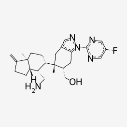 C=C1CC[C@H]2[C@@H](CN)[C@@H]([C@]3(C)Cc4cnn(-c5ncc(F)cn5)c4C[C@@H]3CO)CC[C@]12C